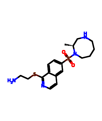 C[C@@H]1CNCCCCN1S(=O)(=O)c1ccc2c(SCCN)nccc2c1